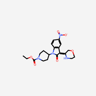 CCOC(=O)N1CCC(N2C(=O)/C(=C3/COCCN3)c3cc([N+](=O)[O-])ccc32)CC1